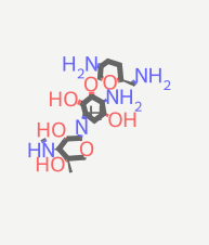 CN[C@@H]1C(O)[C@H]([N@]2C3[C@H]2C(O)C(O[C@H]2O[C@H](CN)CCC2N)[C@@H](N)[C@H]3O)OC[C@]1(C)O